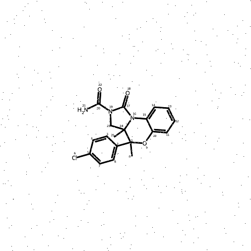 CC1(c2ccc(Cl)cc2)Oc2ccccc2N2C(=O)N(C(N)=O)CC21C